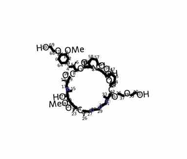 CO[C@@H]1C[C@H](C[C@@H](C)[C@@H]2CC(=O)[C@H](C)/C=C(\C)[C@@H](O)[C@@H](OC)C(=O)[C@H](C)C[C@H](C)/C=C/C=C/C=C(\C)[C@@H](OCCOCCO)C[C@@H]3CC[C@@H](C)[C@@](O)(O3)C(=O)C(=O)N3CCCC[C@H]3C(=O)O2)CC[C@H]1OCCO